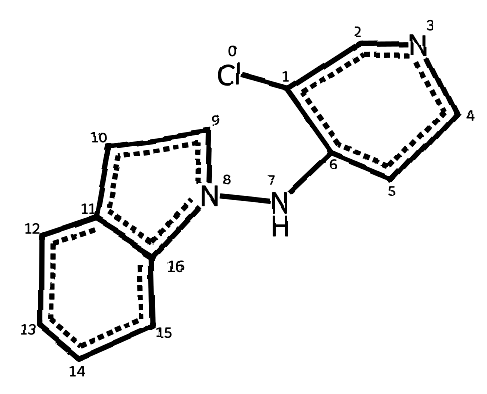 Clc1cnccc1Nn1ccc2ccccc21